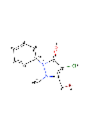 CCCn1c(CBr)c(Cl)c(=O)n1-c1ccccc1